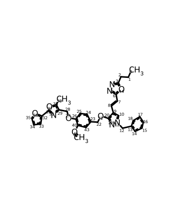 CCCc1nnc(C=Cc2cn(Cc3ccccc3)nc2OCc2ccc(OCc3nc(-c4ccco4)oc3C)c(OC)c2)o1